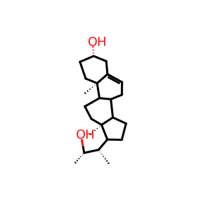 C[C@H](O)[C@@H](C)C1CCC2C3CC=C4C[C@@H](O)CC[C@]4(C)C3CC[C@@]21C